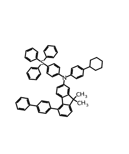 CC1(C)c2cc(N(c3ccc(C4CCCCC4)cc3)c3ccc(S(c4ccccc4)(c4ccccc4)c4ccccc4)cc3)ccc2-c2c(-c3ccc(-c4ccccc4)cc3)cccc21